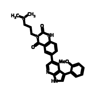 COc1ccccc1-c1c[nH]c2ncc(-c3ccc4[nH]c(=O)n(CCCN(C)C)c(=O)c4c3)cc12